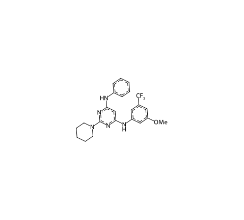 COc1cc(Nc2cc(Nc3ccccc3)nc(N3CCCCC3)n2)cc(C(F)(F)F)c1